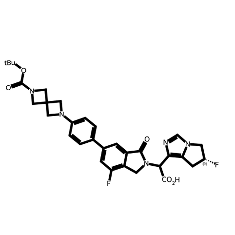 CC(C)(C)OC(=O)N1CC2(C1)CN(c1ccc(-c3cc(F)c4c(c3)C(=O)N(C(C(=O)O)c3ncn5c3C[C@@H](F)C5)C4)cc1)C2